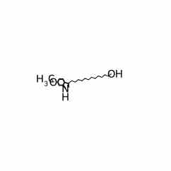 COc1ccc2c(CCCCCCCCCCCCO)c[nH]c2c1